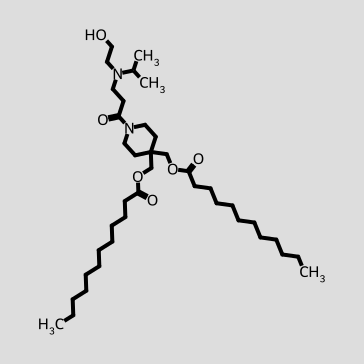 CCCCCCCCCCCC(=O)OCC1(COC(=O)CCCCCCCCCCC)CCN(C(=O)CCN(CCO)C(C)C)CC1